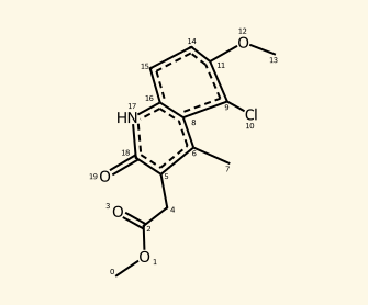 COC(=O)Cc1c(C)c2c(Cl)c(OC)ccc2[nH]c1=O